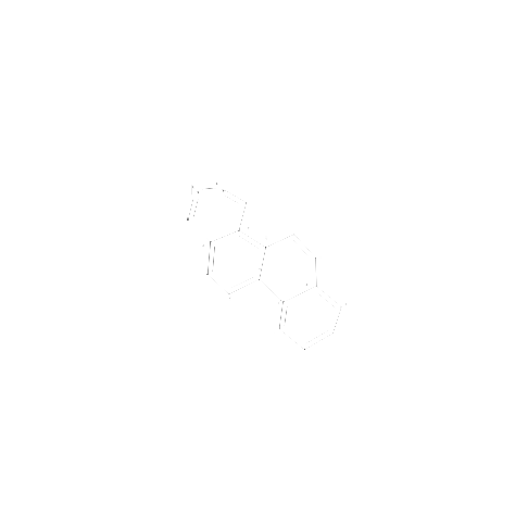 c1ccc2c(c1)ccc1c3cnncc3ccc21